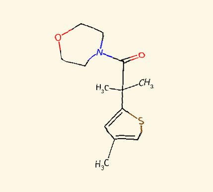 Cc1csc(C(C)(C)C(=O)N2CCOCC2)c1